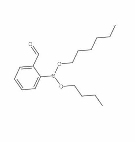 CCCCCCOB(OCCCC)c1ccccc1C=O